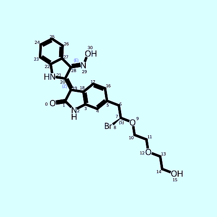 O=C1Nc2cc(C[C@H](Br)OCCOCCO)ccc2/C1=C1/Nc2ccccc2/C1=N\O